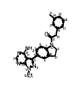 CCn1nc(-c2ccc3c(c2)CCN3C(=O)Cc2cccc(C)c2)c2c(N)ncnc21